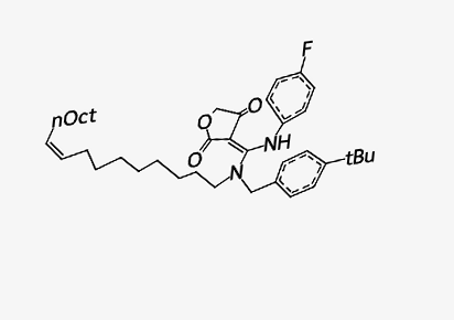 CCCCCCCC/C=C\CCCCCCCCN(Cc1ccc(C(C)(C)C)cc1)C(Nc1ccc(F)cc1)=C1C(=O)COC1=O